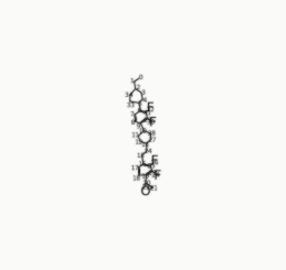 CCC1CCC(c2ccc(C3CCC(CCc4ccc(C5CO5)c(F)c4F)CC3)c(F)c2F)CC1